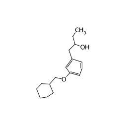 CCC(O)Cc1cccc(OCC2CCCCC2)c1